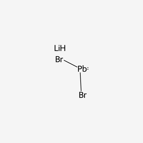 [Br][Pb][Br].[LiH]